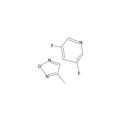 Cc1cnon1.Fc1cncc(F)c1